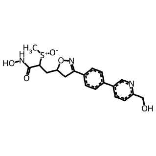 C[S+]([O-])C(CC1CC(c2ccc(-c3ccc(CO)nc3)cc2)=NO1)C(=O)NO